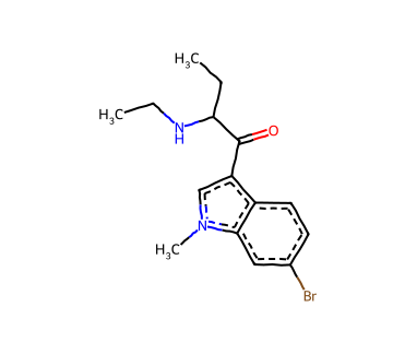 CCNC(CC)C(=O)c1cn(C)c2cc(Br)ccc12